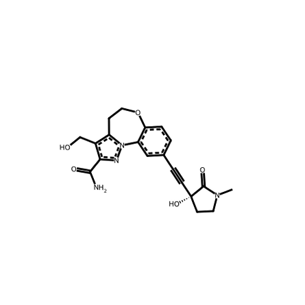 CN1CC[C@@](O)(C#Cc2ccc3c(c2)-n2nc(C(N)=O)c(CO)c2CCO3)C1=O